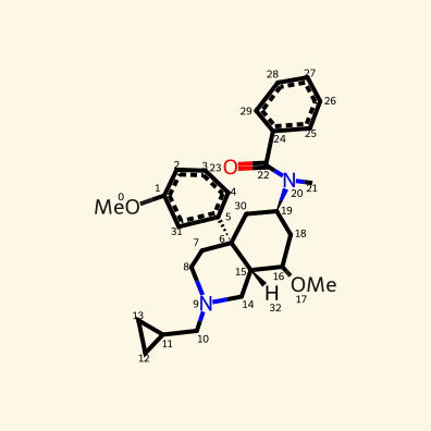 COc1cccc([C@@]23CCN(CC4CC4)C[C@H]2C(OC)C[C@H](N(C)C(=O)c2ccccc2)C3)c1